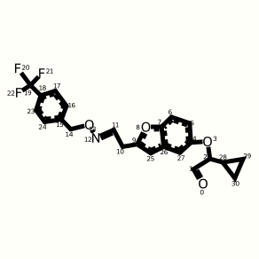 O=CC(Oc1ccc2oc(CC=NOCc3ccc(C(F)(F)F)cc3)cc2c1)C1CC1